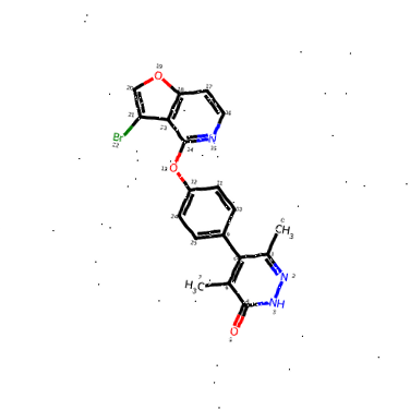 Cc1n[nH]c(=O)c(C)c1-c1ccc(Oc2nccc3occ(Br)c23)cc1